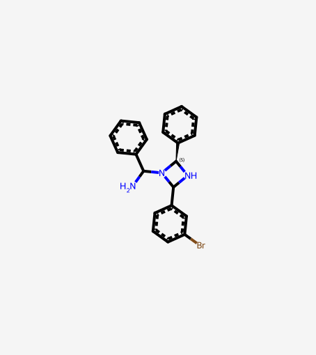 NC(c1ccccc1)N1C(c2cccc(Br)c2)N[C@@H]1c1ccccc1